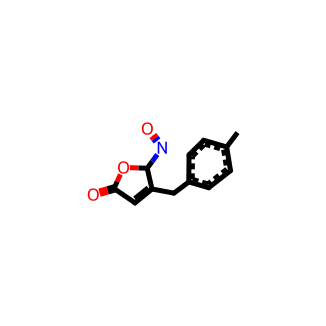 Cc1ccc(CC2=CC(=O)OC2N=O)cc1